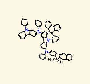 CC1(C)c2cc(N(c3ccccc3)c3ccc4c5cc(N(c6ccccc6)c6ccc7c8ccccc8n(-c8ccccc8)c7c6)cc6c5n(c4c3)-c3ccccc3C(c3ccccc3)=C6c3ccccc3)ccc2-c2cc3ccccc3cc21